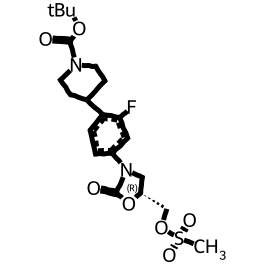 CC(C)(C)OC(=O)N1CCC(c2ccc(N3C[C@H](COS(C)(=O)=O)OC3=O)cc2F)CC1